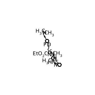 CCOC(=O)c1nc(N(C)c2cc(C)c(Nc3nc4ccccc4s3)nn2)sc1CCCOc1ccc(C#CCN(C)C)cc1F